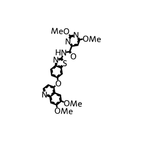 COc1cc(C(=O)Nc2nc3ccc(Oc4ccnc5cc(OC)c(OC)cc45)cc3s2)nc(OC)n1